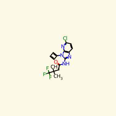 CC(C)(CC(=O)Nc1nc2ccc(Cl)nc2n1C1=CC=C1)C(F)(F)F